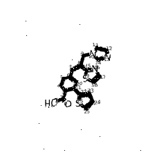 O=C(O)c1ccc(C=C(Cn2ccnc2)c2nccs2)cc1-c1cccs1